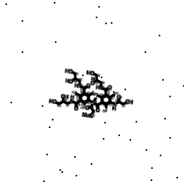 CNCC(=O)[N+](C)(C(=O)c1c(I)c(NC(=O)CO)c(I)c(C(=O)NCC(O)CO)c1I)c1c(I)c(C(=O)NCC(O)CO)c(I)c(C(=O)NCC(O)CO)c1I